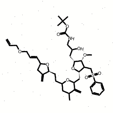 C=CCOC/C=C/C1CC(=C)[C@H](CCC2CC(C)C(=C)C(C[C@@H]3O[C@H](CC(O)CNC(=O)OC(C)(C)C)[C@H](OC)C3CS(=O)(=O)c3ccccc3)O2)O1